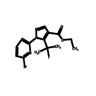 CCOC(=O)c1cnn(-c2cccc(Br)n2)c1C(C)(C)F